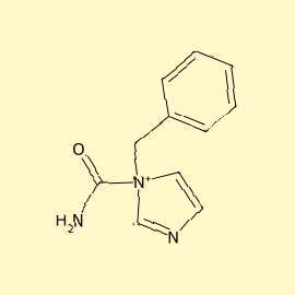 NC(=O)[N+]1(Cc2ccccc2)[C]=NC=C1